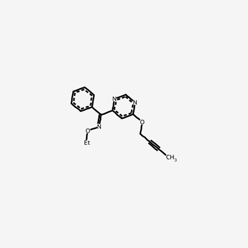 CC#CCOc1cc(C(=NOCC)c2ccccc2)ncn1